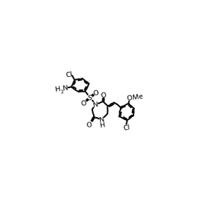 COc1ccc(Cl)cc1/C=C1\CNC(=O)CN(S(=O)(=O)c2ccc(Cl)c(N)c2)C1=O